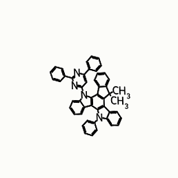 CC1(C)c2ccccc2-c2c1c1c3ccccc3n(-c3ccccc3)c1c1c3ccccc3n(-c3cc(-c4ccccc4)nc(-c4ccccc4)n3)c21